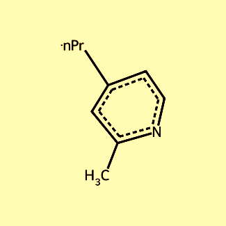 CC[CH]c1ccnc(C)c1